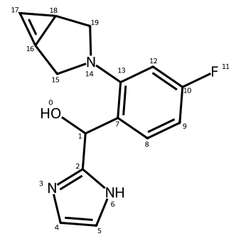 OC(c1ncc[nH]1)c1ccc(F)cc1N1CC2=CC2C1